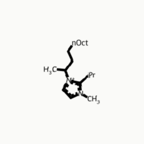 CCCCCCCCCCC(C)[n+]1ccn(C)c1C(C)C